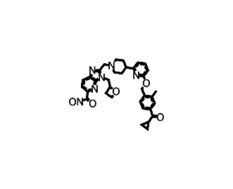 Cc1cc(C(=O)C2CC2)ccc1COc1cccc(C2CCN(Cc3nc4ccc(C(=O)N=O)nc4n3CC3CCO3)CC2)n1